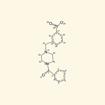 O=C(c1[c]cccc1)N1CCN(Cc2cccc([N+](=O)[O-])c2)CC1